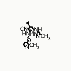 [C-]#[N+]c1c(C2CC2)cc(Nc2cc(C)n[nH]2)nc1NCCOc1cccnc1C